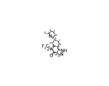 Cc1cccc(-c2ccc3c4[nH]ncc4c(=O)n(CC(F)(F)F)c3c2)n1